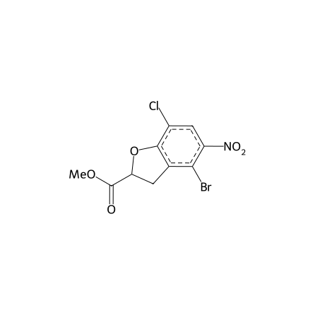 COC(=O)C1Cc2c(Br)c([N+](=O)[O-])cc(Cl)c2O1